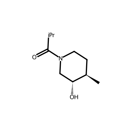 CC(C)C(=O)N1CC[C@@H](C)[C@H](O)C1